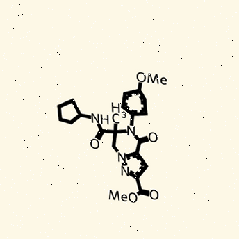 COC(=O)c1cc2n(n1)CC(C)(C(=O)NC1CCCC1)N(c1ccc(OC)cc1)C2=O